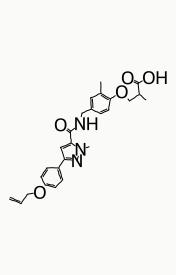 C=CCOc1ccc(-c2cc(C(=O)NCc3ccc(OCC(C)C(=O)O)c(C)c3)n(C)n2)cc1